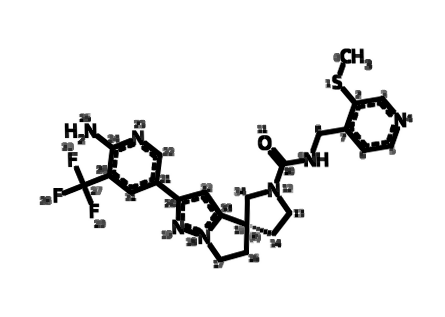 CSc1cnccc1CNC(=O)N1CC[C@@]2(CCn3nc(-c4cnc(N)c(C(F)(F)F)c4)cc32)C1